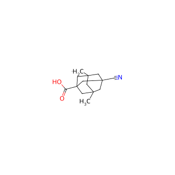 [CH2]C12CC3(C)CC(C#N)(C1)CC(C(=O)O)(C2)C3